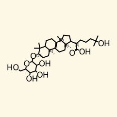 CC(C)(O)CCC[C@@H](C(=O)O)C1CC[C@@]2(C)C3=C(CC[C@]12C)[C@@]1(C)CC[C@H](OC2OC(CO)C(O)C(O)C2O)C(C)(C)C1CC3